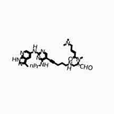 CCCNc1nc(Nc2cnc3[nH]nc(C)c3c2)ncc1C#CCCCNC[C@@H](C=O)N(C)C(=O)C=CCN(C)C